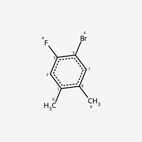 Cc1cc(F)c(Br)cc1C